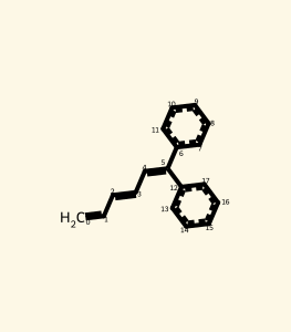 C=CC=CC=C(c1ccccc1)c1ccccc1